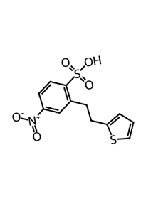 O=[N+]([O-])c1ccc(S(=O)(=O)O)c(CCc2cccs2)c1